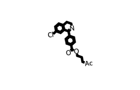 CC(=O)CCCOC(=O)c1ccc(C2=NCCc3ccc(Cl)cc32)cc1